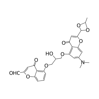 CC1OC(c2cc(=O)c3c(OCC(O)COc4cccc5oc(C=O)cc(=O)c45)cc(N(C)C)cc3o2)O1